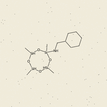 C[SiH]1O[SiH](C)O[Si](C)(NCC2CCCCC2)O[SiH](C)O1